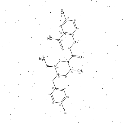 CC[C@H]1CN(C(=O)COc2ccc(Cl)cc2C(=O)O)[C@H](C)CN1Cc1ccc(F)cc1